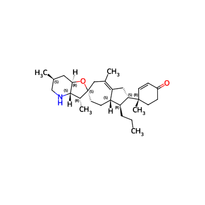 CCC[C@H]1[C@@H]2CC[C@@]3(CC(C)=C2C[C@@H]1[C@]1(C)C=CC(=O)CC1)O[C@@H]1C[C@H](C)CN[C@H]1[C@H]3C